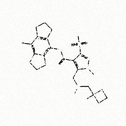 CC(C)n1nc(S(N)(=O)=O)c(C(=O)Nc2c3c(c(Cl)c4c2CCC4)CCC3)c1CN(C)CC1(O)CCC1